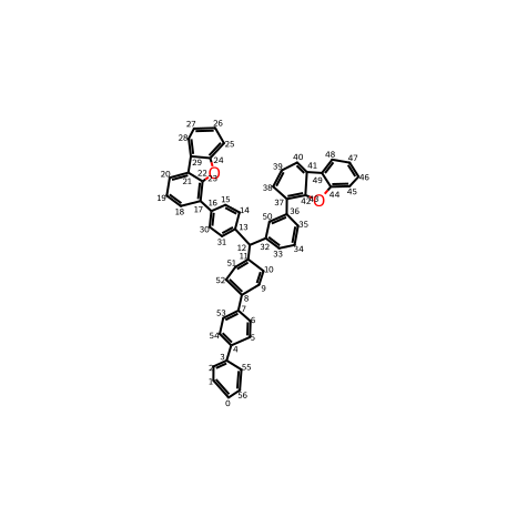 c1ccc(-c2ccc(-c3ccc(C(c4ccc(-c5cccc6c5oc5ccccc56)cc4)c4cccc(-c5cccc6c5oc5ccccc56)c4)cc3)cc2)cc1